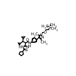 Cc1nn(COCCS(C)(C)C)c(C)c1-c1ccc(NC(=O)C(c2nnc(C3CCCC3)[nH]2)C(C2CC2)C2CC2)cc1